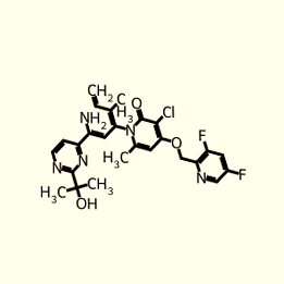 C=C/C(C)=C(\C=C(/N)c1ccnc(C(C)(C)O)n1)n1c(C)cc(OCc2ncc(F)cc2F)c(Cl)c1=O